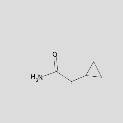 NC(=O)[CH]C1CC1